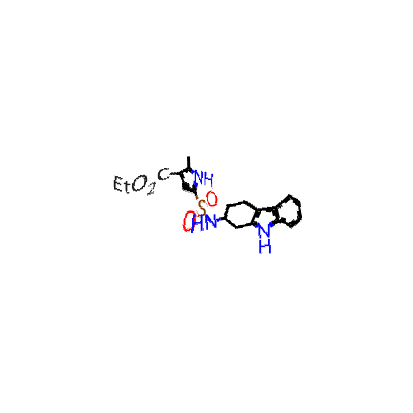 CCOC(=O)c1cc(S(=O)(=O)NC2CCc3c([nH]c4ccccc34)C2)[nH]c1C